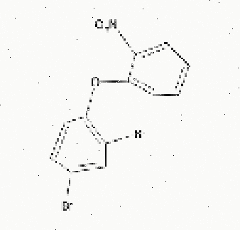 O=[N+]([O-])c1ccccc1Oc1ccc(Br)cc1Br